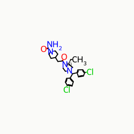 CC[C@H]1CN(C(c2ccc(Cl)cc2)c2ccc(Cl)cc2)CCN1C(=O)CC1CCN(C(N)=O)CC1